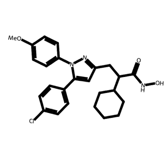 COc1ccc(-n2nc(CC(C(=O)NO)C3CCCCC3)cc2-c2ccc(Cl)cc2)cc1